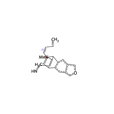 C=C/C=C\C1=C(C)C2C(C=N)=C(NC)C1c1cc3cocc3cc12